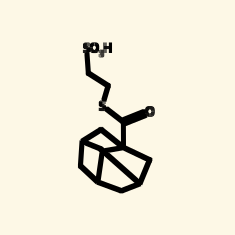 O=C(SCCS(=O)(=O)O)C12CC3CC(CC(C3)C1)C2